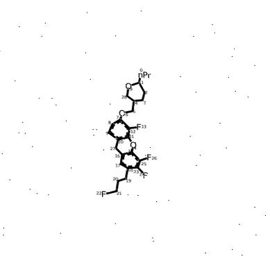 CCCC1CCC(COc2ccc3c(c2F)Oc2c(cc(CCCF)c(F)c2F)C3)CO1